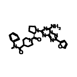 CN(C(=O)C1CCN(C(=O)[C@@H]2CCCN2c2nc(N)n3nc(-c4ccco4)nc3n2)CC1)c1ccccc1